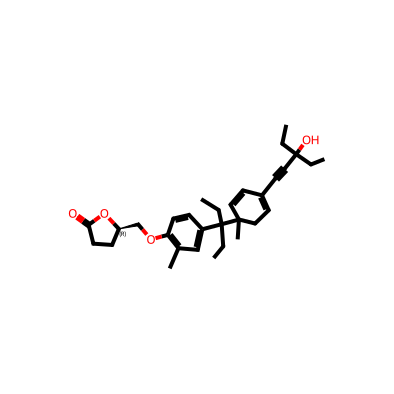 CCC(O)(C#CC1=CCC(C)(C(CC)(CC)c2ccc(OC[C@H]3CCC(=O)O3)c(C)c2)C=C1)CC